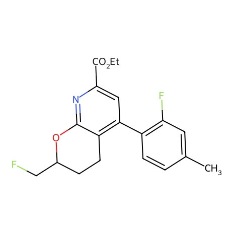 CCOC(=O)c1cc(-c2ccc(C)cc2F)c2c(n1)OC(CF)CC2